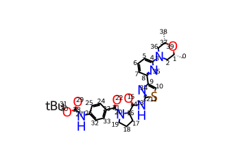 C[C@@H]1CN(c2cccc(-c3csc(NC(=O)C4CCCN4C(=O)c4ccc(NC(=O)OC(C)(C)C)cc4)n3)n2)C[C@H](C)O1